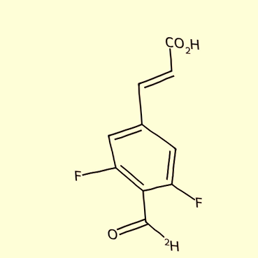 [2H]C(=O)c1c(F)cc(C=CC(=O)O)cc1F